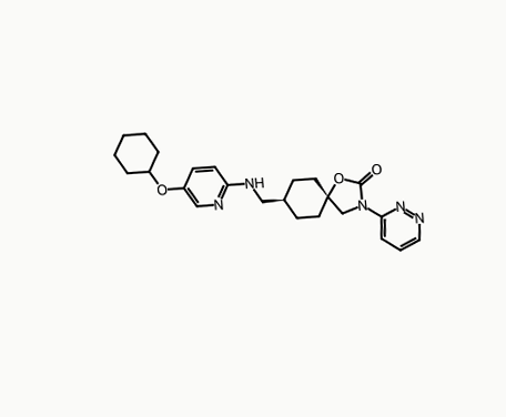 O=C1O[C@]2(CC[C@H](CNc3ccc(OC4CCCCC4)cn3)CC2)CN1c1cccnn1